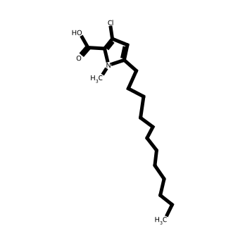 CCCCCCCCCCCCc1cc(Cl)c(C(=O)O)n1C